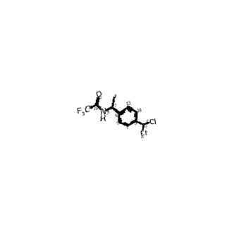 CCC(Cl)c1ccc(C(C)NC(=O)C(F)(F)F)cc1